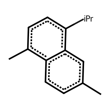 Cc1ccc2c(C)ccc(C(C)C)c2c1